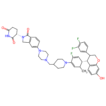 CC1C=C(N2CCC(CN3CCN(c4ccc5c(c4)CN([C@H]4CCC(=O)NC4=O)C5=O)CC3)CC2)C(F)=C[C@@H]1C1c2ccc(O)cc2OCC1c1ccc(F)c(F)c1